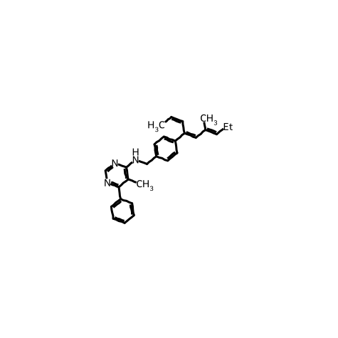 C\C=C/C(=C\C(C)=C\CC)c1ccc(CNc2ncnc(-c3ccccc3)c2C)cc1